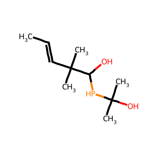 CC=CC(C)(C)C(O)PC(C)(C)O